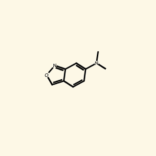 CN(C)c1ccc2conc2c1